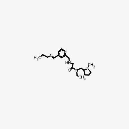 CCC/N=C/c1ccnc(CNCC(=O)N(CC)CC2CCCN2C)c1